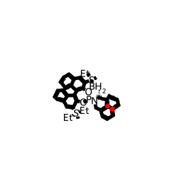 BS(C)(CC)c1cc2ccccc2c2c1op(N(Cc1ccccc1)[C@H](C)c1ccccc1)oc1c(S(C)(CC)CC)cc3ccccc3c12